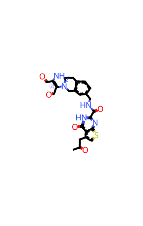 CC(=O)Cc1csc2nc(C(=O)NCc3ccc4c(c3)CN(/C(C=O)=C(\N)C=O)CC4)[nH]c(=O)c12